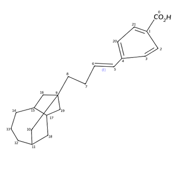 O=C(O)c1ccc(/C=C/CCC23CC4CCCC(C2)C(C4)C3)cc1